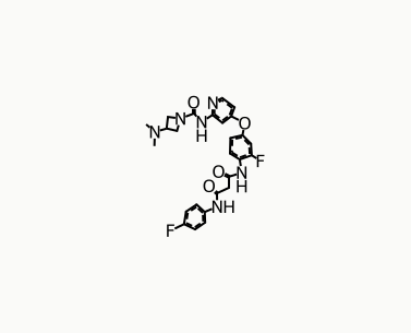 CN(C)C1CN(C(=O)Nc2cc(Oc3ccc(NC(=O)CC(=O)Nc4ccc(F)cc4)c(F)c3)ccn2)C1